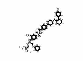 Cc1cc(S(=O)(=O)NC(=O)c2ccc(C3=CCN(CC4=C(c5ccc(Cl)cc5)CCCC4)CC3)cc2)ccc1N[C@H](CCN(C)C)CSc1ccccc1